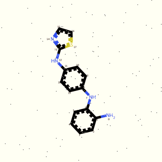 Nc1ccccc1Nc1ccc(Nc2nccs2)cc1